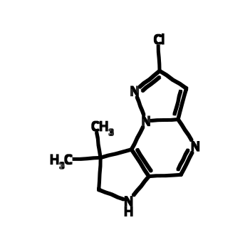 CC1(C)CNc2cnc3cc(Cl)nn3c21